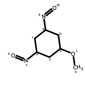 COC1CC(N=O)CC(N=O)C1